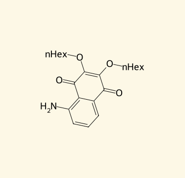 CCCCCCOC1=C(OCCCCCC)C(=O)c2c(N)cccc2C1=O